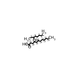 CCCCCC(O)CC.CCCCCCCCCCCC(=O)O